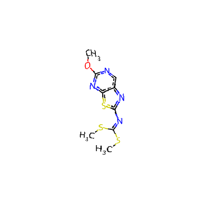 COc1ncc2nc(N=C(SC)SC)sc2n1